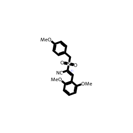 COc1ccc(CS(=O)(=O)/C(C#N)=C/c2c(OC)cccc2OC)cc1